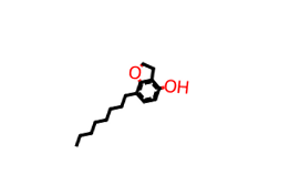 CCCCCCCCc1ccc(O)c2c1OCC2